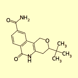 CC(C)(C)C1Cc2[nH]c(=O)c3ccc(C(N)=O)cc3c2CO1